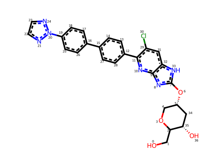 OCC1OC[C@H](Oc2nc3nc(-c4ccc(-c5ccc(-n6nccn6)cc5)cc4)c(Cl)cc3[nH]2)C[C@@H]1O